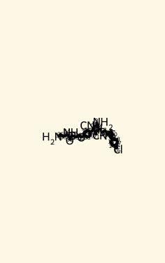 [C-]#[N+]c1c(N)nc(SCc2csc(-c3ccc(Cl)cc3)n2)c(C#N)c1-c1ccc(OCCOC(=O)[C@@H](N)CCN)cc1